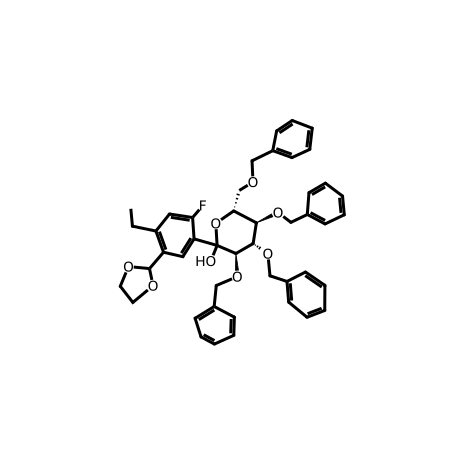 CCc1cc(F)c(C2(O)O[C@H](COCc3ccccc3)[C@@H](OCc3ccccc3)[C@H](OCc3ccccc3)[C@H]2OCc2ccccc2)cc1C1OCCO1